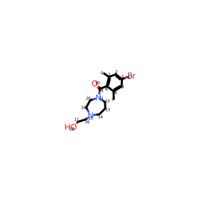 Cc1cc(Br)cc(C)c1C(=O)N1CCCN(CCO)CC1